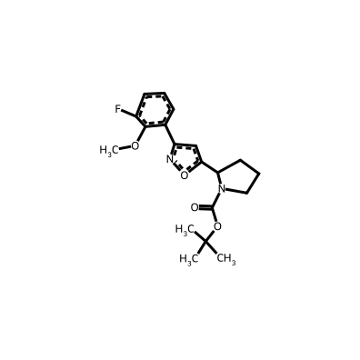 COc1c(F)cccc1-c1cc(C2CCCN2C(=O)OC(C)(C)C)on1